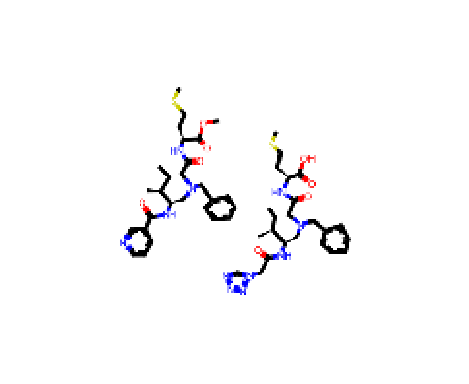 CC[C@H](C)[C@@H](CN(CC(=O)N[C@@H](CCSC)C(=O)O)Cc1ccccc1)NC(=O)Cn1cnnn1.CC[C@H](C)[C@@H](CN(CC(=O)N[C@@H](CCSC)C(=O)OC)Cc1ccccc1)NC(=O)c1cccnc1